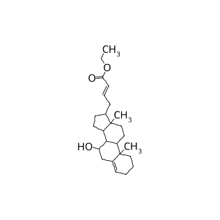 CCOC(=O)/C=C/CC1CCC2C3C(O)CC4=CCCCC4(C)C3CCC12C